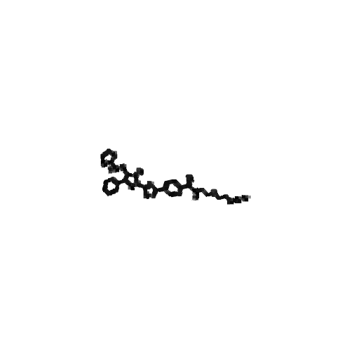 [N-]=[N+]=NCCOCCNC(=O)c1ccc(-c2csc(N3N=C(c4ccccc4)/C(=N\Nc4nccs4)C3=O)n2)cc1